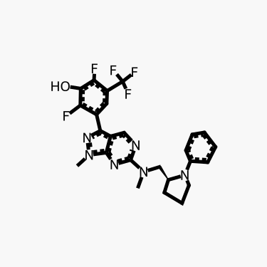 CN(C[C@@H]1CCCN1c1ccccc1)c1ncc2c(-c3cc(C(F)(F)F)c(F)c(O)c3F)nn(C)c2n1